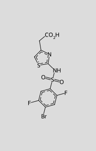 O=C(O)Cc1csc(NS(=O)(=O)c2cc(F)c(Br)cc2F)n1